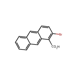 O=C(O)c1c(Br)ccc2cc3ccccc3cc12